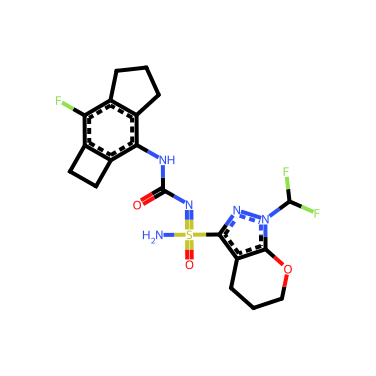 NS(=O)(=NC(=O)Nc1c2c(c(F)c3c1CC3)CCC2)c1nn(C(F)F)c2c1CCCO2